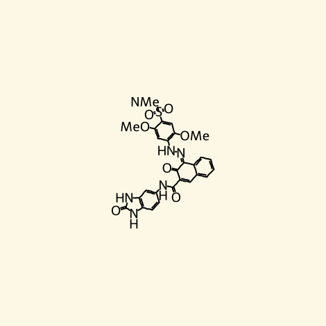 CNS(=O)(=O)c1cc(OC)c(N/N=C2\C(=O)C(C(=O)Nc3ccc4[nH]c(=O)[nH]c4c3)=Cc3ccccc32)cc1OC